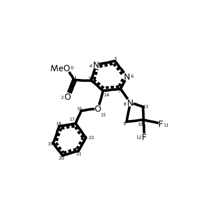 COC(=O)c1ncnc(N2CC(F)(F)C2)c1OCc1ccccc1